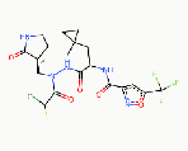 CC1(CC(NC(=O)c2cc(C(F)(F)F)on2)C(=O)NN(C[C@@H]2CCNC2=O)C(=O)C(F)Cl)CC1